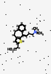 CN(C)CC/C=C1\c2ccccc2CCc2cc(CC(=O)O)sc21